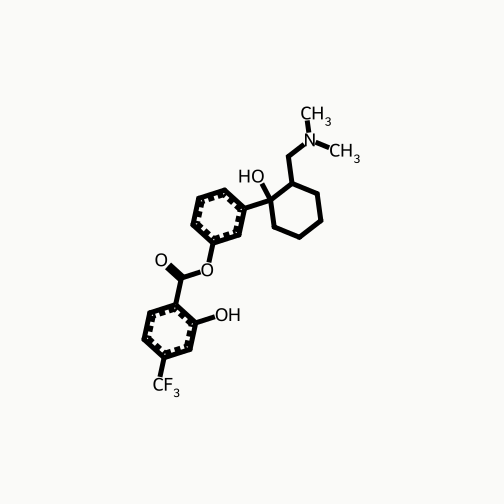 CN(C)CC1CCCCC1(O)c1cccc(OC(=O)c2ccc(C(F)(F)F)cc2O)c1